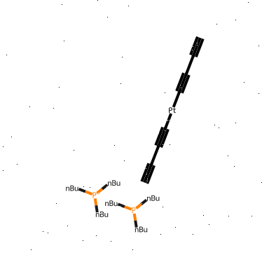 C#CC#[C][Pt][C]#CC#C.CCCCP(CCCC)CCCC.CCCCP(CCCC)CCCC